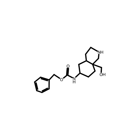 O=C(NC1CCC2(CO)CNCCC2C1)OCc1ccccc1